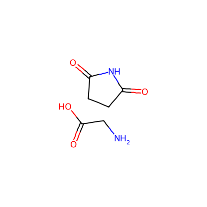 NCC(=O)O.O=C1CCC(=O)N1